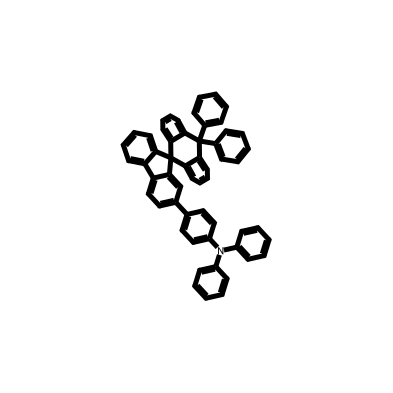 c1ccc(N(c2ccccc2)c2ccc(-c3ccc4c(c3)C3(c5ccccc5-4)c4ccccc4C(c4ccccc4)(c4ccccc4)c4ccccc43)cc2)cc1